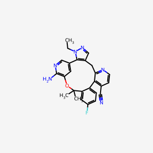 CCn1ncc2c1-c1cnc(N)c(c1)OC(C)(C)c1cc(F)ccc1-c1c(C#N)ccnc1C2